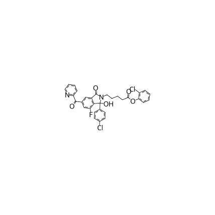 O=C(CCCCN1C(=O)c2cc(C(=O)c3ccccn3)cc(F)c2C1(O)c1ccc(Cl)cc1)Oc1ccccc1Cl